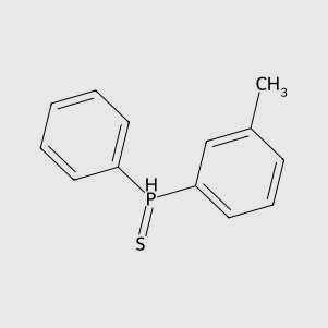 Cc1cccc([PH](=S)c2ccccc2)c1